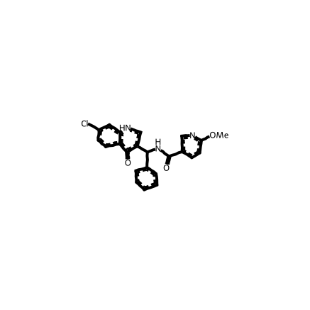 COc1ccc(C(=O)NC(c2ccccc2)c2c[nH]c3cc(Cl)ccc3c2=O)cn1